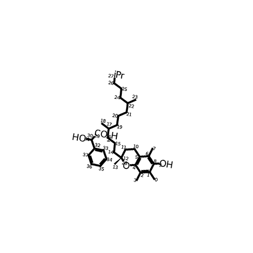 Cc1c(C)c2c(c(C)c1O)CC[C@@](C)(CCCC(C)CCCC(C)CCCC(C)C)O2.O=C(O)C(O)c1ccccc1